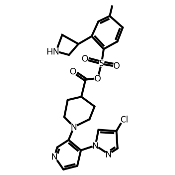 Cc1ccc(S(=O)(=O)OC(=O)C2CCN(c3cnccc3-n3cc(Cl)cn3)CC2)c(C2CNC2)c1